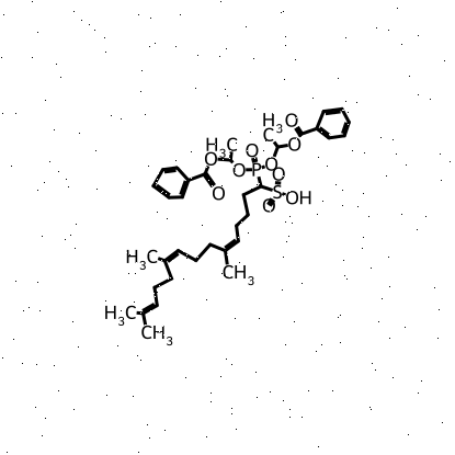 CC(C)=CCCC(C)=CCCC(C)=CCCCC(P(=O)(OC(C)OC(=O)c1ccccc1)OC(C)OC(=O)c1ccccc1)S(=O)(=O)O